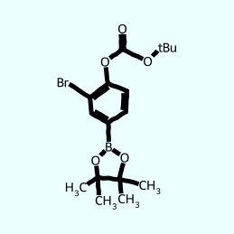 CC(C)(C)OC(=O)Oc1ccc(B2OC(C)(C)C(C)(C)O2)cc1Br